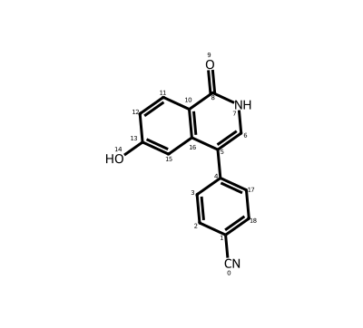 N#Cc1ccc(-c2c[nH]c(=O)c3ccc(O)cc23)cc1